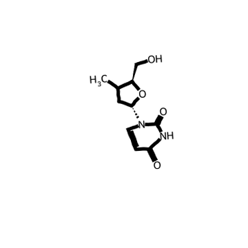 CC1C[C@@H](n2ccc(=O)[nH]c2=O)O[C@@H]1CO